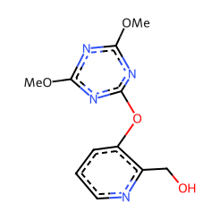 COc1nc(OC)nc(Oc2cccnc2CO)n1